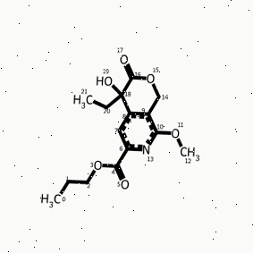 CCCOC(=O)c1cc2c(c(OC)n1)COC(=O)C2(O)CC